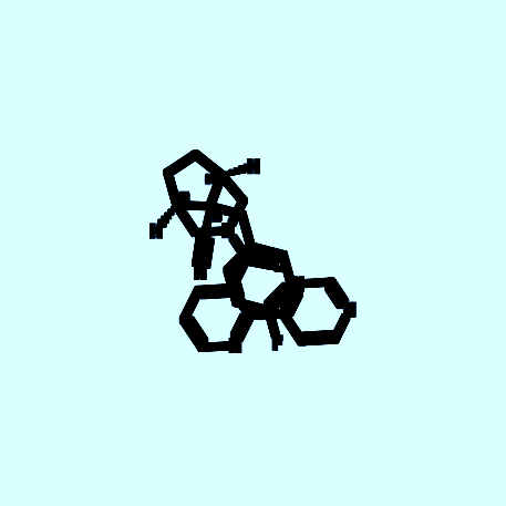 N#C[C@@]1(Cc2ccc(F)cc2)[C@@H]2CC[C@H]1CN(C(=O)c1cccnc1-c1ccncn1)C2